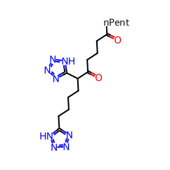 CCCCCC(=O)CCCC(=O)C(CCCCc1nnn[nH]1)c1nnn[nH]1